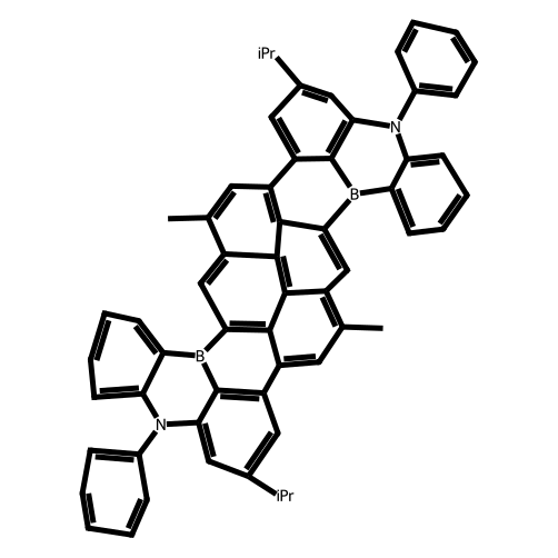 Cc1cc2c3c(cc4c(C)cc5c6c(cc1c3c46)B1c3ccccc3N(c3ccccc3)c3cc(C(C)C)cc-5c31)B1c3ccccc3N(c3ccccc3)c3cc(C(C)C)cc-2c31